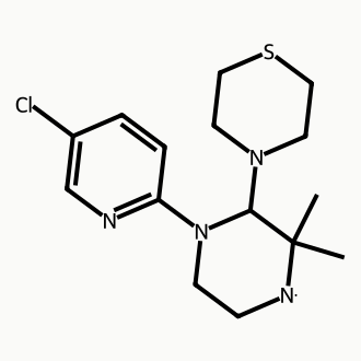 CC1(C)[N]CCN(c2ccc(Cl)cn2)C1N1CCSCC1